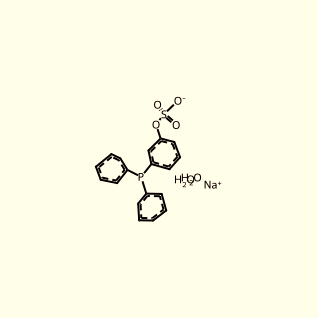 O.O.O=S(=O)([O-])Oc1cccc(P(c2ccccc2)c2ccccc2)c1.[Na+]